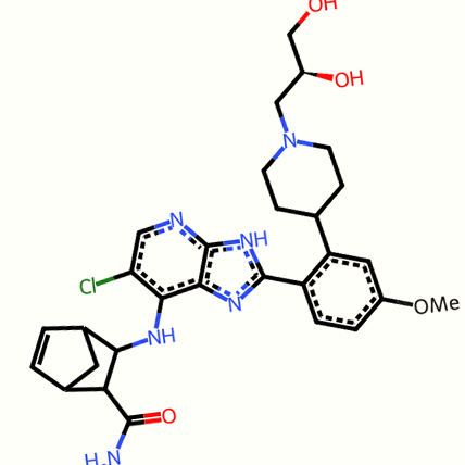 COc1ccc(-c2nc3c(NC4C5C=CC(C5)C4C(N)=O)c(Cl)cnc3[nH]2)c(C2CCN(C[C@H](O)CO)CC2)c1